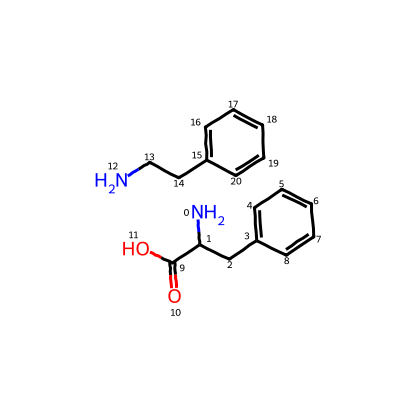 NC(Cc1ccccc1)C(=O)O.NCCc1ccccc1